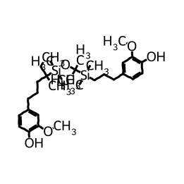 CCC(C)(CCCc1ccc(O)c(OC)c1)[Si](C)(C)OC(C)(C)[Si](C)(C)CCCc1ccc(O)c(OC)c1